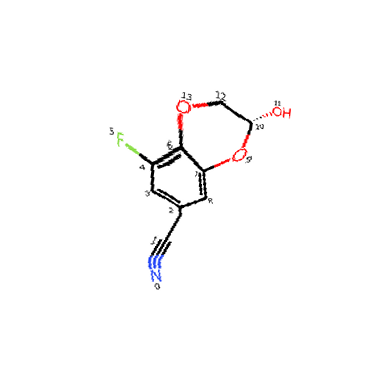 N#Cc1cc(F)c2c(c1)O[C@@H](O)CO2